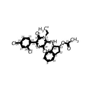 CCn1c(N[C@@H]2c3ccccc3C[C@@H]2OC(C)=O)c(C)nc(-c2ccc(Cl)cc2Cl)c1=O